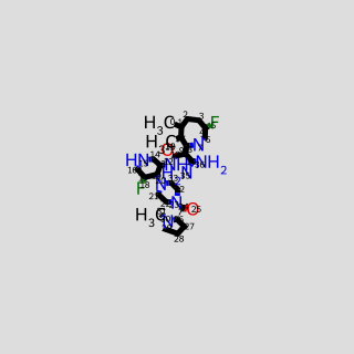 CC1CCC(F)/C=N\C(C(C(=O)NC2CNCC(F)C2N2CCN(C(=O)[C@@H]3CCCN3C)CC2)C(N)N)C1C